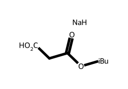 CCC(C)OC(=O)CC(=O)O.[NaH]